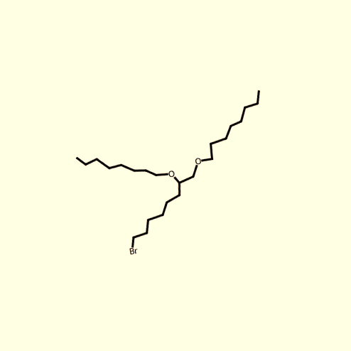 CCCCCCCCOCC(CCCCCCBr)OCCCCCCCC